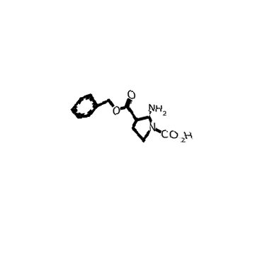 N[C@H]1C(C(=O)OCc2ccccc2)CCN1C(=O)O